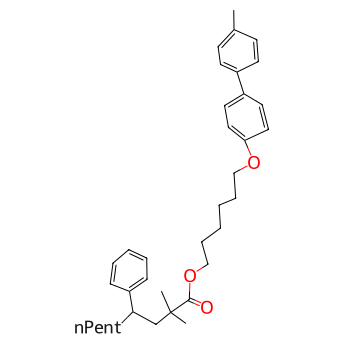 CCCCCC(CC(C)(C)C(=O)OCCCCCCOc1ccc(-c2ccc(C)cc2)cc1)c1ccccc1